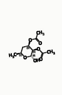 CC(=O)O[C@H]1[C@H](O)O[C@@H](C)C[C@H]1OC(C)=O